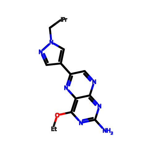 CCOc1nc(N)nc2ncc(-c3cnn(CC(C)C)c3)nc12